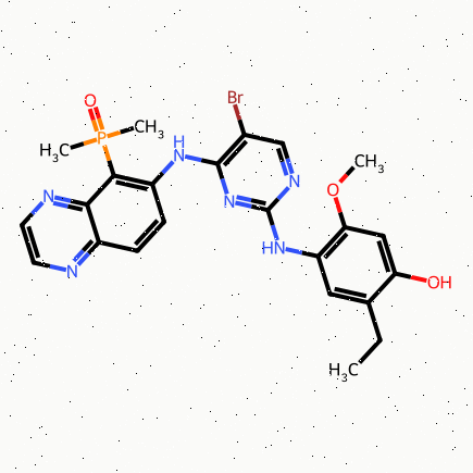 CCc1cc(Nc2ncc(Br)c(Nc3ccc4nccnc4c3P(C)(C)=O)n2)c(OC)cc1O